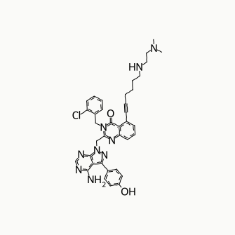 CN(C)CCNCCCCC#Cc1cccc2nc(Cn3nc(-c4ccc(O)cc4)c4c(N)ncnc43)n(Cc3ccccc3Cl)c(=O)c12